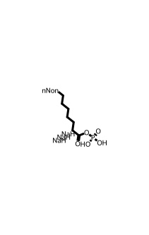 CCCCCCCCCCCCCCCC(=O)OP(=O)(O)O.[NaH].[NaH].[NaH]